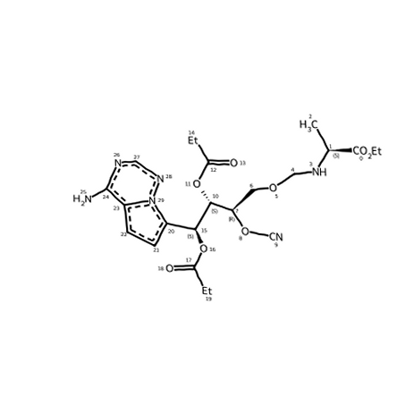 CCOC(=O)[C@H](C)NCOC[C@@H](OC#N)[C@@H](OC(=O)CC)[C@@H](OC(=O)CC)c1ccc2c(N)ncnn12